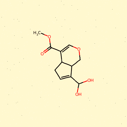 COC(=O)C1=COCC2C(C(O)O)=CCC12